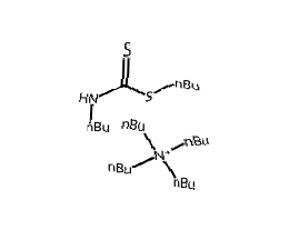 CCCCNC(=S)SCCCC.CCCC[N+](CCCC)(CCCC)CCCC